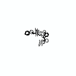 COc1cccc2c(C(=O)NCC(C)C)cn(CCCNCCOc3ccccc3)c12